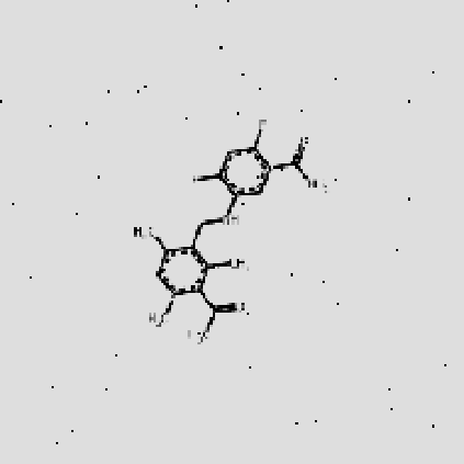 CC(=O)c1c(C)cc(C)c(CNc2cc(C(N)=O)c(F)cc2F)c1C